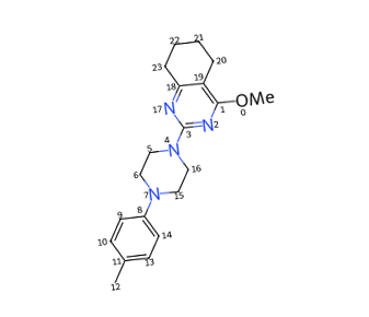 COc1nc(N2CCN(c3ccc(C)cc3)CC2)nc2c1CCCC2